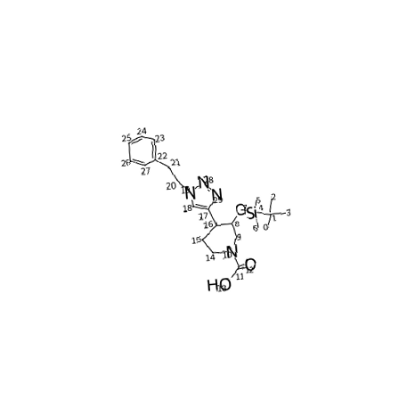 CC(C)(C)[Si](C)(C)OC1CN(C(=O)O)CCC1c1cn(CCc2ccccc2)nn1